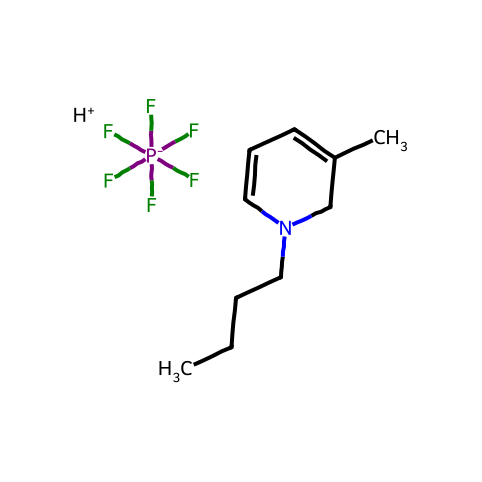 CCCCN1C=CC=C(C)C1.F[P-](F)(F)(F)(F)F.[H+]